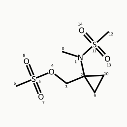 CN(C1(COS(C)(=O)=O)CC1)S(C)(=O)=O